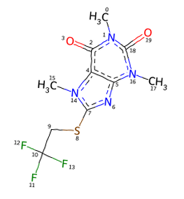 Cn1c(=O)c2c(nc(SCC(F)(F)F)n2C)n(C)c1=O